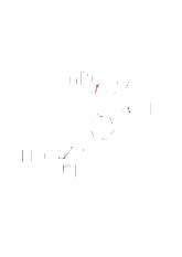 CCCCOC(=O)C(C)c1ccc(CC=C(C)C)cc1